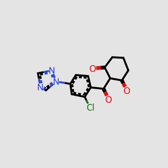 O=C1CCCC(=O)C1C(=O)c1ccc(-n2cncn2)cc1Cl